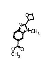 COC(=O)c1ccc2nc(C3CCO3)n(C)c2c1